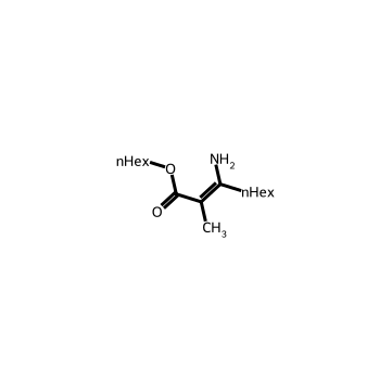 CCCCCCOC(=O)C(C)=C(N)CCCCCC